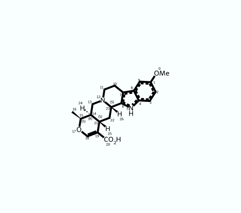 COc1ccc2[nH]c3c(c2c1)CCN1C[C@@H]2[C@H](C)OC=C(C(=O)O)[C@H]2C[C@@H]31